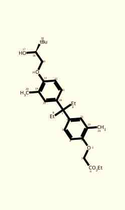 CCOC(=O)COc1ccc(C(CC)(CC)c2ccc(OC[C@@H](O)C(C)(C)C)c(C)c2)cc1C